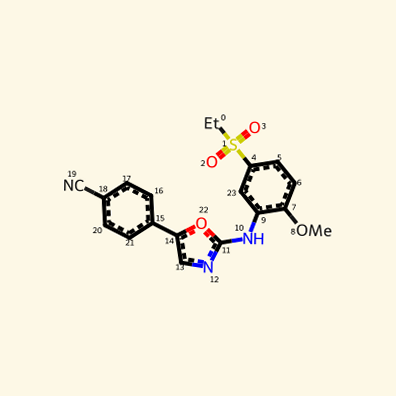 CCS(=O)(=O)c1ccc(OC)c(Nc2ncc(-c3ccc(C#N)cc3)o2)c1